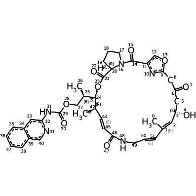 CC1=C\[C@@H](O)CC(=O)Cc2nc(co2)C(=O)N2CCC[C@@H]2C(=O)O[C@H]([C@H](C)COC(=O)Nc2cc3ccccc3cn2)[C@H](C)/C=C/C(=O)NC\C=C\1